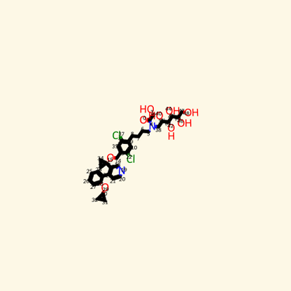 O=C(CO)N(CCCCc1cc(Cl)c(COC2(c3cnccc3-c3ccccc3OC3CC3)CC2)cc1Cl)C[C@H](O)[C@@H](O)[C@H](O)[C@H](O)CO